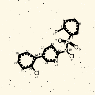 O=S(=O)(c1ccccc1F)N(Cl)c1ccc(-c2ccccc2Cl)cn1